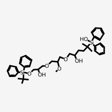 COC(COCC(O)CCC(C)(C)[Si](O)(c1ccccc1)c1ccccc1)COCC(O)CO[Si](c1ccccc1)(c1ccccc1)C(C)(C)C